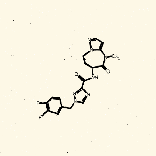 CN1C(=O)[C@@H](NC(=O)c2ncn(Cc3ccc(F)c(F)c3)n2)CCn2nccc21